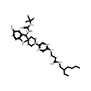 CCCCC(CC)COC(=O)CCSc1cnc(N2CCC3(CC2)Oc2ccc(F)cc2[C@H]3NC(=O)OC(C)(C)C)cn1